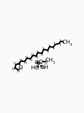 CCCCCCCCCCCCCCCCC1CCCO1.CCOP(=O)(O)O